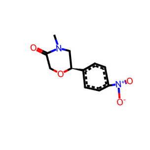 CN1C[C@@H](c2ccc([N+](=O)[O-])cc2)OCC1=O